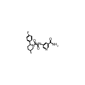 CC1CCC(c2ccc(F)cc2)N(C(=O)C(=O)Nc2cncc(C(N)=O)c2)C1